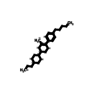 CCCCCc1ccc(C2=C(C)CC(C3CCC(CCC)CC3)CC2)cc1